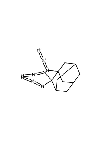 [N-]=[N+]=NC12CC3CC(CC(C3)C1(N=[N+]=[N-])N=[N+]=[N-])C2